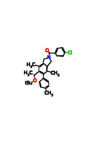 Cc1ccc(-c2c(C)c3c(c(C)c2[C@@H](C)OC(C)(C)C)CN(C(=O)c2ccc(Cl)cc2)C3)cc1